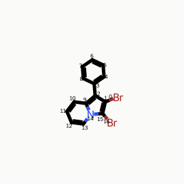 Brc1c(-c2ccccc2)c2ccccn2c1Br